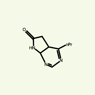 CCCC1=NC=NC2NC(=O)CC12